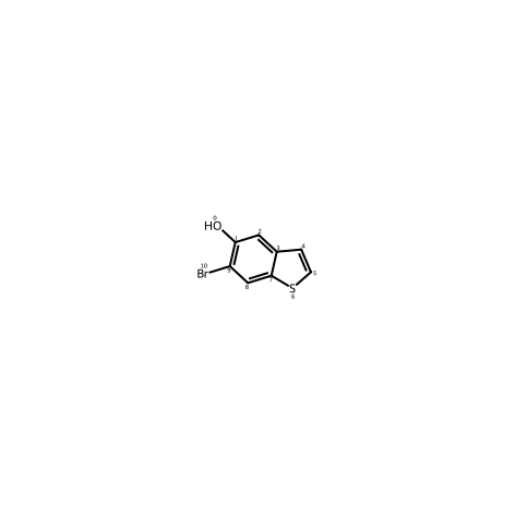 Oc1cc2ccsc2cc1Br